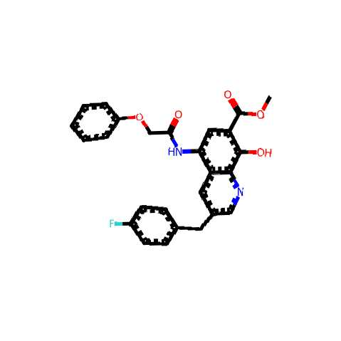 COC(=O)c1cc(NC(=O)COc2ccccc2)c2cc(Cc3ccc(F)cc3)cnc2c1O